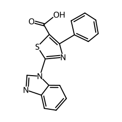 O=C(O)c1sc(-n2cnc3ccccc32)nc1-c1ccccc1